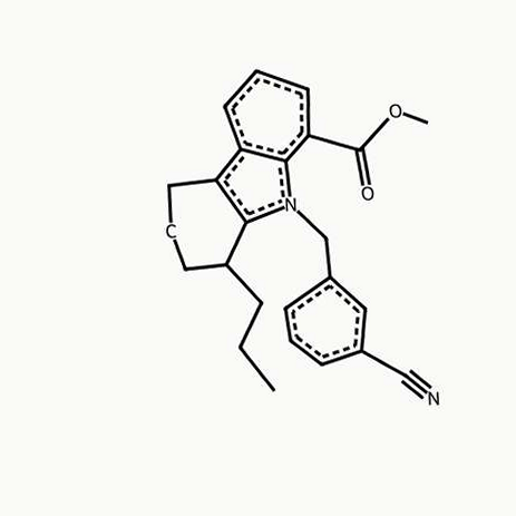 CCCC1CCCc2c1n(Cc1cccc(C#N)c1)c1c(C(=O)OC)cccc21